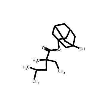 CCC(C)(CC(C)C)C(=O)OC12CC3CC(CC(O)(C3)C1)C2